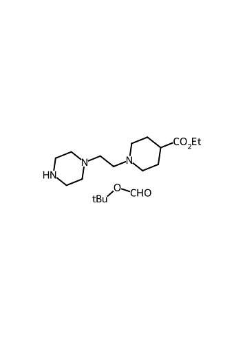 CC(C)(C)OC=O.CCOC(=O)C1CCN(CCN2CCNCC2)CC1